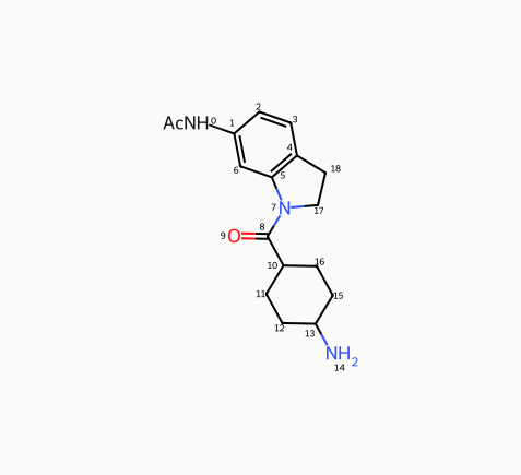 CC(=O)Nc1ccc2c(c1)N(C(=O)C1CCC(N)CC1)CC2